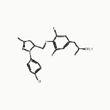 CC1=NN(c2ccc(Cl)cc2)C(COc2c(F)cc(C[C@H](C)C(=O)O)cc2F)C1